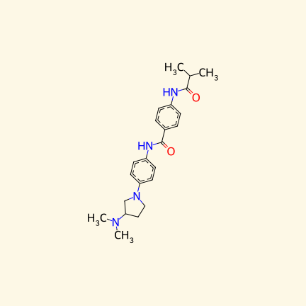 CC(C)C(=O)Nc1ccc(C(=O)Nc2ccc(N3CCC(N(C)C)C3)cc2)cc1